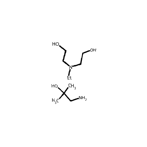 CC(C)(O)CN.CCN(CCO)CCO